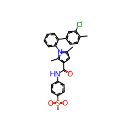 Cc1ccc(-c2ccccc2-n2c(C)cc(C(=O)Nc3ccc(S(C)(=O)=O)cc3)c2C)cc1Cl